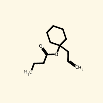 C=CCC1(OC(=O)CCC)CCCCC1